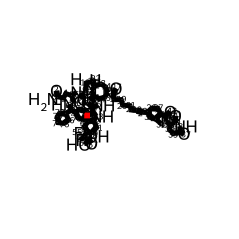 NC(=O)CCC(NC(=O)[C@@H]1CC[C@@H]2CCN(C(=O)CCCCCC#Cc3ccc4c(c3)CN(C3CCC(=O)NC3=O)C4=O)C[C@H](NC(=O)c3cc4cc(C(F)(F)P(=O)(O)O)ccc4[nH]3)C(=O)N21)C(=O)NC(c1ccccc1)c1ccccc1